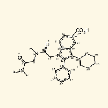 CN(C)C(=O)CN(C)C(=O)Cn1c(-c2ccccc2)c(C2CCCCC2)c2cc(C(=O)O)ccc21